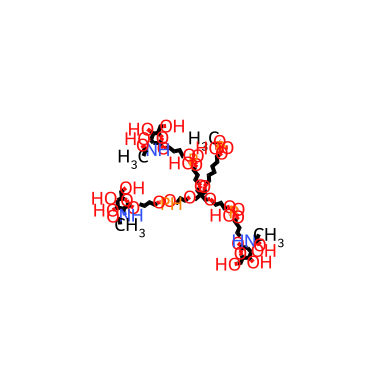 COP(=O)(O)OCCCCCCOCC(COCCCOPOCCCCOC1OC(CO)C(O)C(O)C1NC(C)=O)(COCCCOP(=O)(O)OCCCCOC1OC(CO)C(O)C(O)C1NC(C)=O)COCCCOP(=O)(O)OCCCCOC1OC(CO)C(O)C(O)C1NC(C)=O